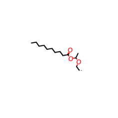 [CH2]COC(C)OC(=O)CCCCCCCCC